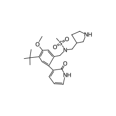 COc1cc(CN(CC2CCNC2)S(C)(=O)=O)c(-c2ccc[nH]c2=O)cc1C(C)(C)C